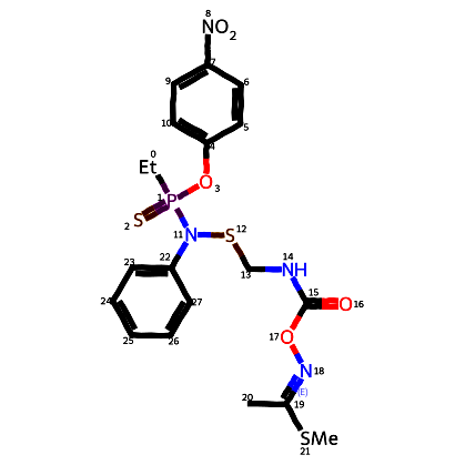 CCP(=S)(Oc1ccc([N+](=O)[O-])cc1)N(SCNC(=O)O/N=C(\C)SC)c1ccccc1